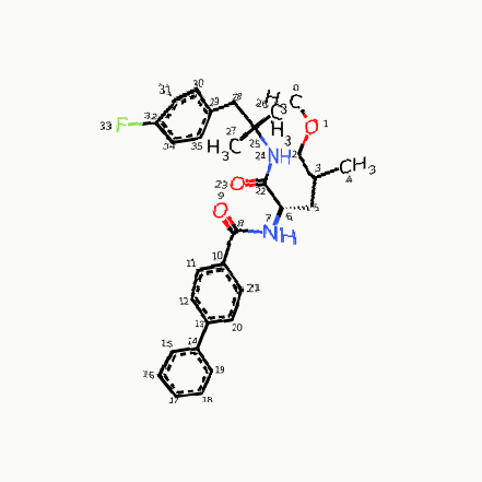 COCC(C)C[C@H](NC(=O)c1ccc(-c2ccccc2)cc1)C(=O)NC(C)(C)Cc1ccc(F)cc1